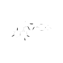 Cl.O=CC(=O)C1c2cc(N3CCC4(CC3)CNC4)ccc2CN1C1CCC(=O)NC1=O